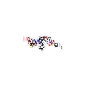 CCCS(=O)(=O)N1CCC(Oc2ccc3cc(C(=O)NC(CC(=O)O)c4ccsc4)nc(CC4CCCC4)c3c2)CC1